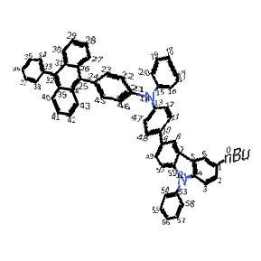 CCCCc1ccc2c(c1)c1cc(-c3ccc(N(c4ccccc4)c4ccc(-c5c6ccccc6c(-c6ccccc6)c6ccccc56)cc4)cc3)ccc1n2-c1ccccc1